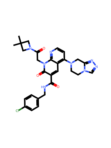 CC1(C)CN(C(=O)Cn2c(=O)c(C(=O)NCc3ccc(Cl)cc3)cc3c(N4CCn5cnnc5C4)ccnc32)C1